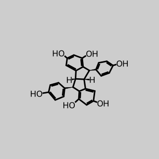 Oc1ccc([C@@H]2c3c(O)cc(O)cc3[C@H]3[C@H](c4ccc(O)cc4)c4c(O)cc(O)cc4[C@@H]23)cc1